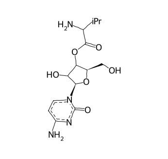 CC(C)C(N)C(=O)OC1C(O)[C@H](n2ccc(N)nc2=O)O[C@@H]1CO